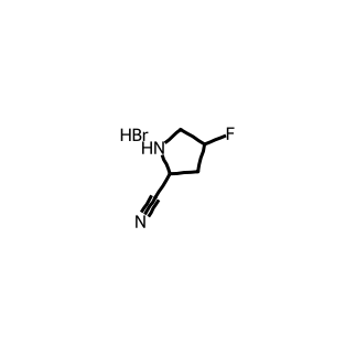 Br.N#CC1CC(F)CN1